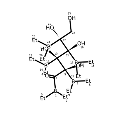 CCB(CC)C(=O)[C@@](O)(B(CC)CC)[C@](O)(B(CC)CC)[C@@](O)(B(CC)CC)[C@](O)(CO)B(CC)CC